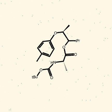 Cc1ccc(O[C@@H](C)C(OC(=O)[C@H](C)NC(=O)OC(C)(C)C)C(C)C)cc1